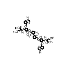 Cc1c(COc2cc(OCc3cccc4c3OCCN4)c(CNC(CCO)C(=O)O)cc2Cl)cccc1-c1cccc(COc2cc(OCc3cccc4c3OCCN4)c(CNC(CCO)C(=O)O)cc2Cl)c1C